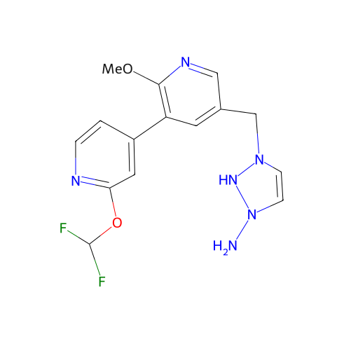 COc1ncc(CN2C=CN(N)N2)cc1-c1ccnc(OC(F)F)c1